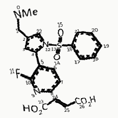 CNCc1cc(-c2cccnc2F)n(S(=O)(=O)c2ccccc2)c1.O=C(O)C=CC(=O)O